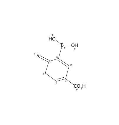 O=C(O)C1=CCC(=S)C(B(O)O)=C1